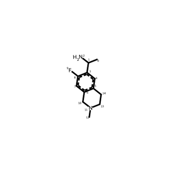 CC(N)c1cc2c(cc1F)CN(C)CC2